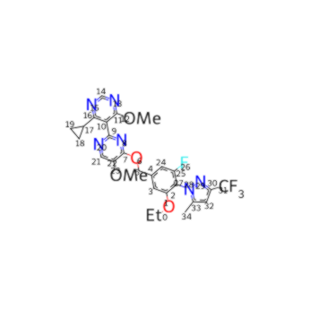 CCOc1cc(COc2nc(-c3c(OC)ncnc3C3CC3)ncc2OC)cc(F)c1-n1nc(C(F)(F)F)cc1C